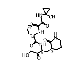 CC(C)C[C@H](NC(=O)C(=O)NC1(C)CC1)C(=O)N[C@@H](C[C@@H]1CCCNC1=O)C(=O)CO